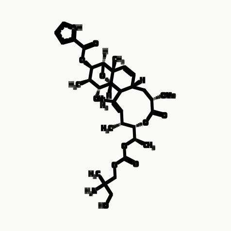 CO[C@H]1C[C@H]2C=C[C@]3(C)[C@H]4[C@H](O)[C@@H](C)[C@@H](OC(=O)c5ccc[nH]5)[C@@H]3O[C@@]24/C(C)=C/[C@@H](C)[C@@H]([C@@H](C)OC(=O)OCC(C)(N)CO)OC1=O